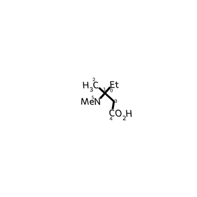 CCC(C)(CC(=O)O)NC